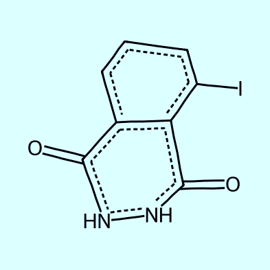 O=c1[nH][nH]c(=O)c2c(I)cccc12